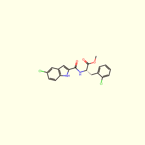 COC(=O)[C@H](Cc1ccccc1Cl)NC(=O)c1cc2cc(Cl)ccc2[nH]1